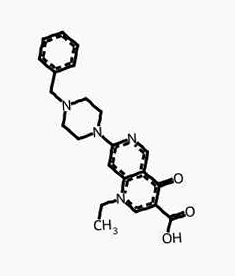 CCn1cc(C(=O)O)c(=O)c2cnc(N3CCN(Cc4ccccc4)CC3)cc21